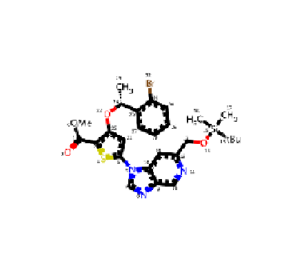 COC(=O)c1sc(-n2cnc3cnc(CO[Si](C)(C)C(C)(C)C)cc32)cc1O[C@H](C)c1ccccc1Br